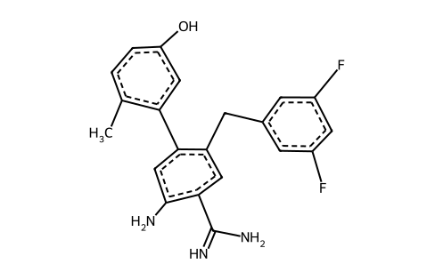 Cc1ccc(O)cc1-c1cc(N)c(C(=N)N)cc1Cc1cc(F)cc(F)c1